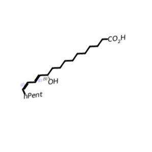 CCCCC/C=C\C=C\[C@@H](O)CCCCCCCCCC(=O)O